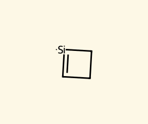 C1=[Si]CC1